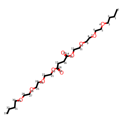 CCCCOCCOCCOCCOC(=O)CCC(=O)OCCOCCOCCOCCCC